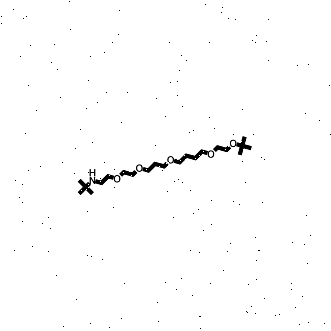 CC(C)(C)NCCOCCOCCCOCCCCOCCOC(C)(C)C